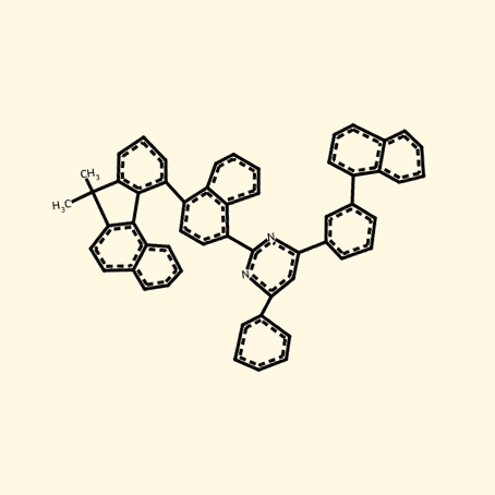 CC1(C)c2cccc(-c3ccc(-c4nc(-c5ccccc5)cc(-c5cccc(-c6cccc7ccccc67)c5)n4)c4ccccc34)c2-c2c1ccc1ccccc21